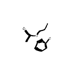 CCCOC(C)=O.Clc1ccccc1